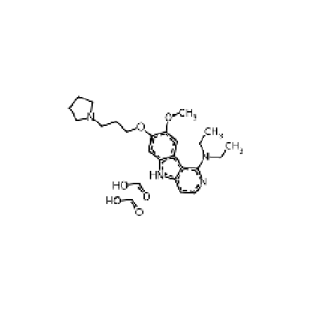 CCN(CC)c1nccc2[nH]c3cc(OCCCN4CCCC4)c(OC)cc3c12.O=CO.O=CO